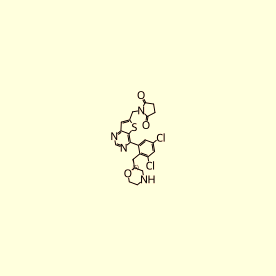 O=C1CCC(=O)N1Cc1cc2ncnc(-c3cc(Cl)cc(Cl)c3C[C@H]3CNCCO3)c2s1